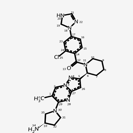 Cc1cn2nc([C@@H]3CCCCN3C(=O)c3ccc(N4CNC=N4)cc3Cl)cc2nc1N1CC[C@H](N)C1